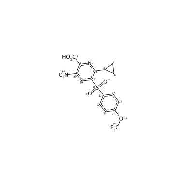 O=C(O)c1nc(C2CC2)c(S(=O)(=O)c2ccc(OC(F)(F)F)cc2)cc1[N+](=O)[O-]